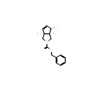 CCOC(=O)[C@@H]1[C@H]2C=C[C@@H](O)[C@H]2CN1C(=O)OCc1ccccc1